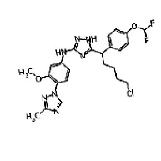 COc1cc(Nc2n[nH]c(C(CCCCCl)c3ccc(OC(F)F)cc3)n2)ccc1-n1cnc(C)n1